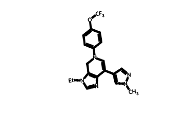 CCn1cnc2c1CN(c1ccc(OC(F)(F)F)cc1)C=C2c1cnn(C)c1